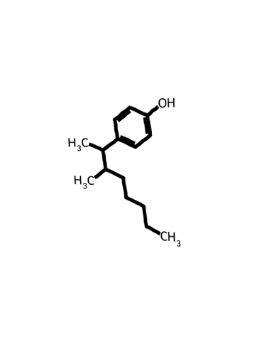 CCCCCC(C)C(C)c1ccc(O)cc1